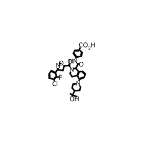 CC(C)(O)C1CCN(c2cccc3c2CCN(C(=O)C2CC(c4cccc(Cl)c4F)=NO2)C3C(=O)Nc2ccc(C(=O)O)cc2)CC1